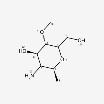 CO[C@@H]1C(CO)O[C@@H](C)C(N)[C@H]1O